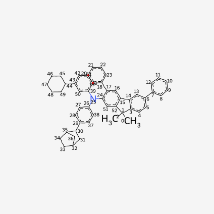 CC1(C)c2ccc(-c3ccccc3)cc2-c2cc(-c3ccccc3)c(N(c3ccc(C4CC5CCC4C5)cc3)c3cccc(C4CCCCC4)c3)cc21